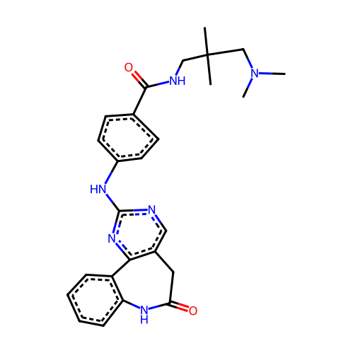 CN(C)CC(C)(C)CNC(=O)c1ccc(Nc2ncc3c(n2)-c2ccccc2NC(=O)C3)cc1